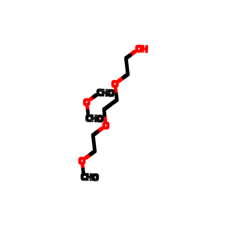 O=COC=O.O=COCCOCCOCCO